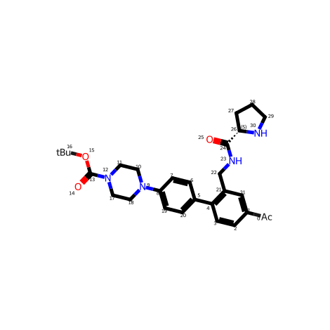 CC(=O)c1ccc(-c2ccc(N3CCN(C(=O)OC(C)(C)C)CC3)cc2)c(CNC(=O)[C@@H]2CCCN2)c1